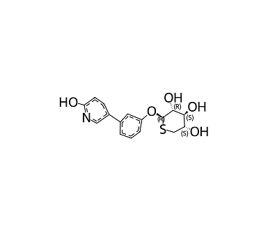 Oc1ccc(-c2cccc(O[C@@H]3SC[C@@H](O)[C@H](O)[C@H]3O)c2)cn1